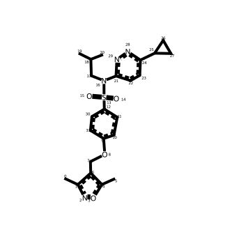 Cc1noc(C)c1COc1ccc(S(=O)(=O)N(CC(C)C)c2ccc(C3CC3)nn2)cc1